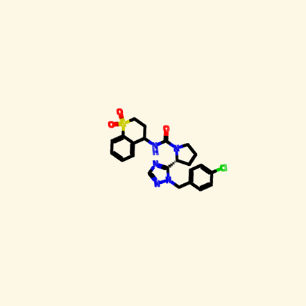 O=C(NC1CCS(=O)(=O)c2ccccc21)N1CCC[C@@H]1c1ncnn1Cc1ccc(Cl)cc1